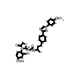 COc1ccc(N2C(=O)CSC2NC(=O)NC(C)CCc2ccc(-c3ncn(-c4ccc(OC(F)(F)F)cc4)n3)cc2)c(C(C)C)c1